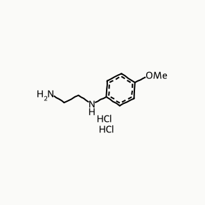 COc1ccc(NCCN)cc1.Cl.Cl